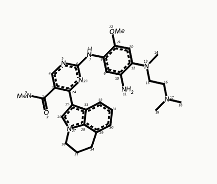 CNC(=O)c1cnc(Nc2cc(N)c(N(C)CCN(C)C)cc2OC)nc1-c1cn2c3c(cccc13)CCC2